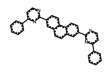 c1ccc(-c2ccnc(-c3ccc4c(ccc5cc(-c6nccc(-c7ccccc7)n6)ccc54)c3)n2)cc1